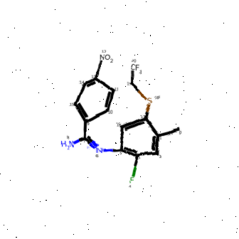 Cc1cc(F)c(/N=C(/N)c2ccc([N+](=O)[O-])cc2)cc1SCC(F)(F)F